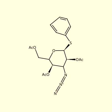 CC(=O)OCC1O[C@@H](Sc2ccccc2)[C@@H](OC(C)=O)C(N=[N+]=[N-])[C@H]1OC(C)=O